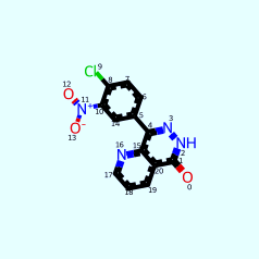 O=c1[nH]nc(-c2ccc(Cl)c([N+](=O)[O-])c2)c2ncccc12